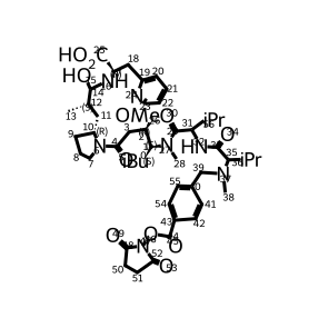 CC[C@H](C)[C@@H]([C@@H](CC(=O)N1CCC[C@@H]1C[C@H](C)C(O)N[C@H](Cc1ccccn1)C(=O)O)OC)N(C)C(=O)C(NC(=O)C(C(C)C)N(C)Cc1ccc(C(=O)ON2C(=O)CCC2=O)cc1)C(C)C